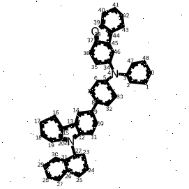 c1ccc(N(c2ccc(-c3ccc4c(c3)c3ccccc3n4-c3cccc4ccccc34)cc2)c2ccc3oc4ccccc4c3c2)cc1